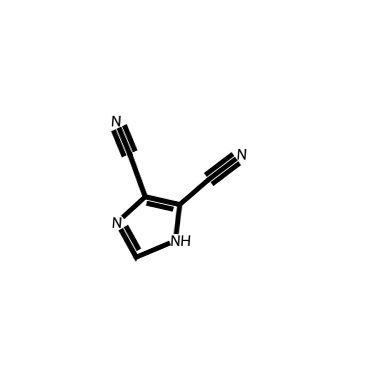 N#Cc1n[c][nH]c1C#N